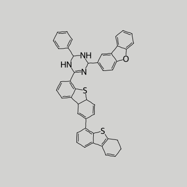 C1=Cc2c(sc3c(C4=CC5c6cccc(C7=NC(c8ccc9oc%10ccccc%10c9c8)NC(c8ccccc8)N7)c6SC5C=C4)cccc23)CC1